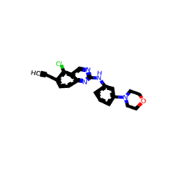 C#Cc1ccc2nc(Nc3cccc(N4CCOCC4)c3)ncc2c1Cl